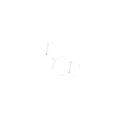 C=C1CCN(C(=O)C(C)C)CC1(F)F